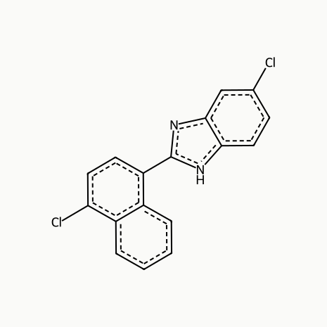 Clc1ccc2[nH]c(-c3ccc(Cl)c4ccccc34)nc2c1